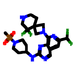 CS(=O)(=O)N1CCC(Nc2ncc3cc(C(F)F)nc(N4CC5(CCNCC5(F)F)C4)c3n2)CC1